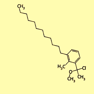 CCCCCCCCCCCCc1cccc(C(C)(Cl)OC)c1C